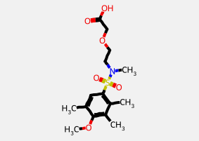 COc1c(C)cc(S(=O)(=O)N(C)CCOCC(=O)O)c(C)c1C